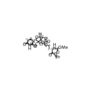 COC(=O)N[C@@H](CCO[P@@]1(=O)OC2[C@H]3O[C@@H](n4ccc(=O)[nH]c4=O)C(C)(C)[C@]23O1)C(=O)OC(C)C